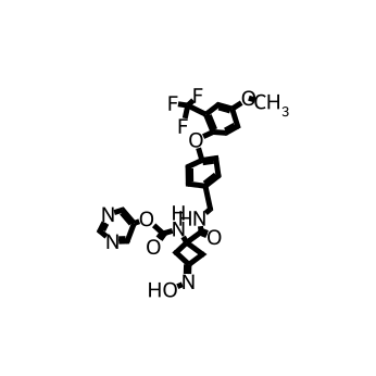 COc1ccc(Oc2ccc(CNC(=O)C3(NC(=O)Oc4cncnc4)CC(=NO)C3)cc2)c(C(F)(F)F)c1